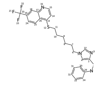 CN(Cc1cn(CCCCCCSc2ccnc3cc(C(F)(F)F)ccc23)cn1)c1ccccc1